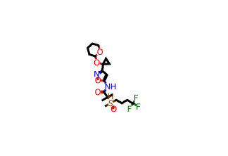 CC(C)(C(=O)Nc1cc(C2(OC3CCCCO3)CC2)no1)[SH](C)(=O)CCCC(F)(F)F